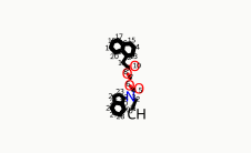 C#CCN(C(=O)OCOC(=O)Cc1cccc2ccccc12)[C@@H]1CCc2ccccc21